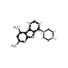 Cc1cc(C)c2c(n1)sc1c(N3CCOCC3)ncnc12